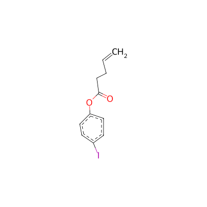 C=CCCC(=O)Oc1ccc(I)cc1